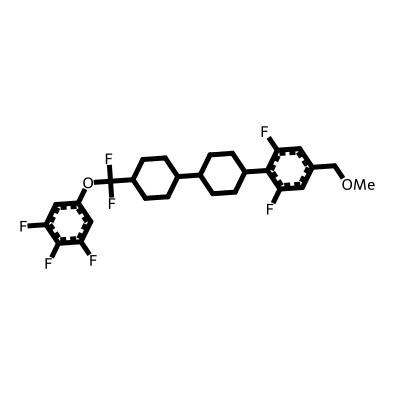 COCc1cc(F)c(C2CCC(C3CCC(C(F)(F)Oc4cc(F)c(F)c(F)c4)CC3)CC2)c(F)c1